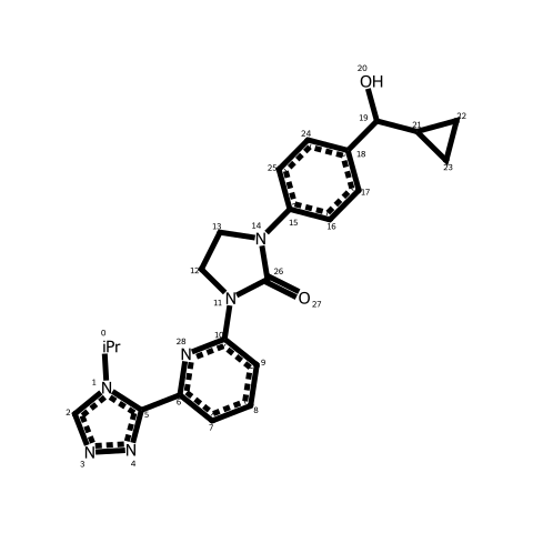 CC(C)n1cnnc1-c1cccc(N2CCN(c3ccc(C(O)C4CC4)cc3)C2=O)n1